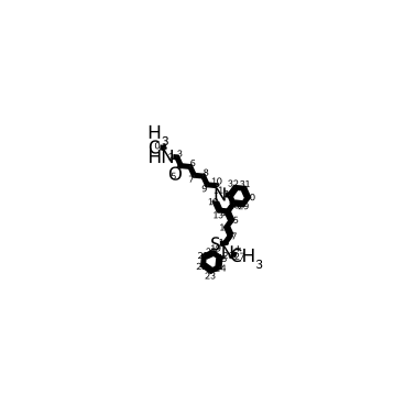 CCNCC(=O)CCCCCN1C=CC(=CC=Cc2sc3ccccc3[n+]2C)c2ccccc21